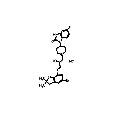 CC1(C)Cc2cc(Br)cc(OCC(O)CN3CCC(n4c(=O)[nH]c5cc(F)ccc54)CC3)c2O1.Cl